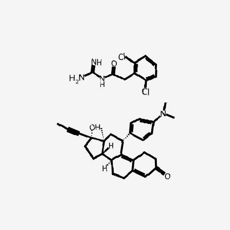 CC#C[C@]1(O)CC[C@H]2[C@@H]3CCC4=CC(=O)CCC4=C3[C@@H](c3ccc(N(C)C)cc3)C[C@@]21C.N=C(N)NC(=O)Cc1c(Cl)cccc1Cl